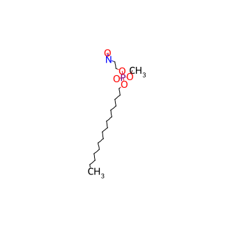 CCCCCCCCCCCCCCCCOP(=O)(OC)OCCN=O